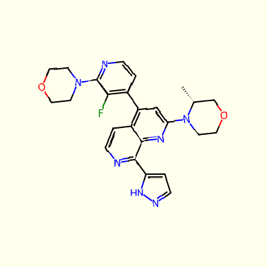 C[C@@H]1COCCN1c1cc(-c2ccnc(N3CCOCC3)c2F)c2ccnc(-c3ccn[nH]3)c2n1